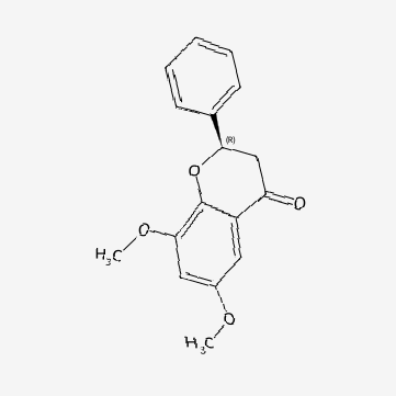 COc1cc(OC)c2c(c1)C(=O)C[C@H](c1ccccc1)O2